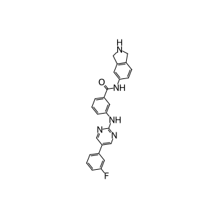 O=C(Nc1ccc2c(c1)CNC2)c1cccc(Nc2ncc(-c3cccc(F)c3)cn2)c1